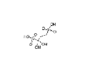 O=S(=O)(O)CCC(O)(O)S(=O)(=O)O